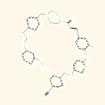 COc1cccc(OCCc2ccc(CN3CCN(C(=O)C=Cc4ccc(Oc5ccc(OCc6ccc(C#N)cc6)cn5)c(Cl)c4)CC3)cc2)c1